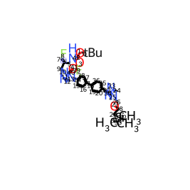 CC(C)(C)OC(=O)NC/C(=C\F)Cn1ncn(-c2ccc(-c3ccc(-c4ncn(COCC[Si](C)(C)C)n4)cc3)cc2F)c1=O